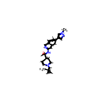 Cn1cc(-c2ccc3cnc(NC4(C5CCN(CC6(C(F)(F)F)CC6)CC5)CO4)cc3c2)cn1